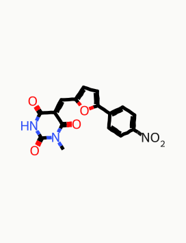 CN1C(=O)NC(=O)/C(=C/c2ccc(-c3ccc([N+](=O)[O-])cc3)o2)C1=O